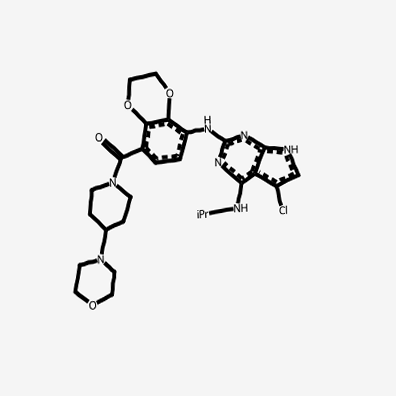 CC(C)Nc1nc(Nc2ccc(C(=O)N3CCC(N4CCOCC4)CC3)c3c2OCCO3)nc2[nH]cc(Cl)c12